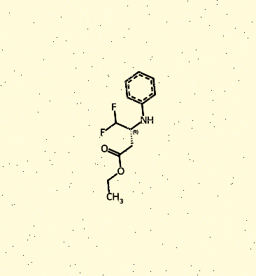 CCOC(=O)C[C@@H](Nc1ccccc1)C(F)F